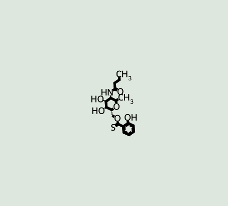 CCCC(=O)N[C@H]1C(C)O[C@H](COC(=S)c2ccccc2O)[C@@H](O)[C@@H]1O